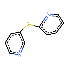 [c]1ncccc1Sc1ccccn1